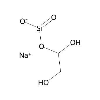 O=[Si]([O-])OC(O)CO.[Na+]